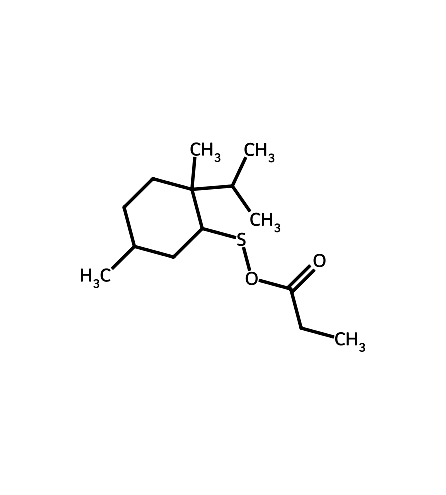 CCC(=O)OSC1CC(C)CCC1(C)C(C)C